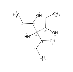 CCC(O)C([NH])(C(O)CC)C(O)CC